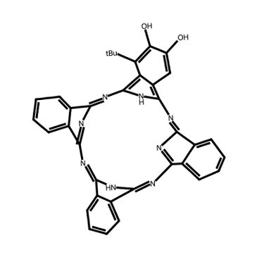 CC(C)(C)c1c(O)c(O)cc2c3nc4nc(nc5[nH]c(nc6nc(nc([nH]3)c12)-c1ccccc1-6)c1ccccc51)-c1ccccc1-4